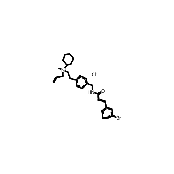 C=CC[N+](C)(CCc1ccc(CNC(=O)C=Cc2cccc(Br)c2)cc1)C1CCCCC1.[Cl-]